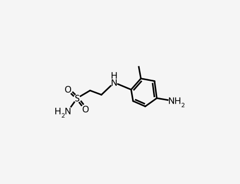 Cc1cc(N)ccc1NCCS(N)(=O)=O